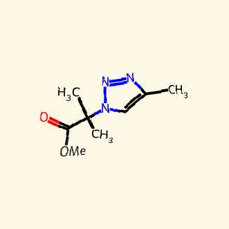 COC(=O)C(C)(C)n1cc(C)nn1